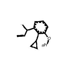 [CH2]C(C=C)c1cccc(OCCC)c1C1CC1